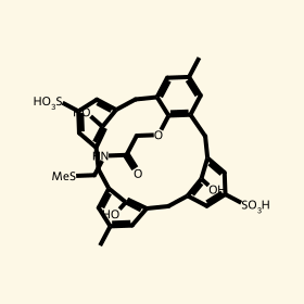 CSCNC(=O)COc1c2cc(C)cc1Cc1cc(S(=O)(=O)O)cc(c1O)Cc1cc(C)cc(c1O)Cc1cc(S(=O)(=O)O)cc(c1O)C2